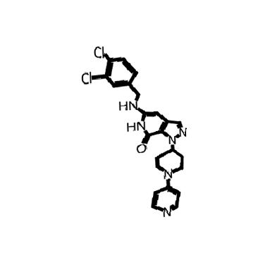 O=c1[nH]c(NCc2ccc(Cl)c(Cl)c2)cc2cnn(C3CCN(c4ccncc4)CC3)c12